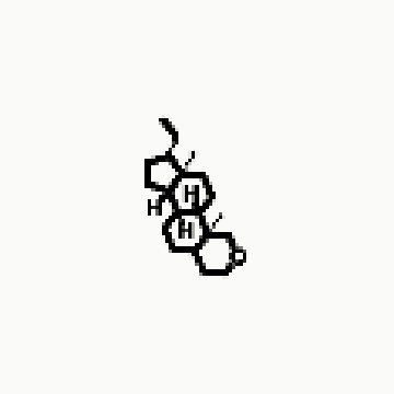 CC[C@H]1CC[C@H]2[C@@H]3CCC4CCOC[C@]4(C)[C@H]3CC[C@]12C